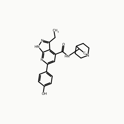 CCc1n[nH]c2nc(-c3ccc(O)cc3)cc(C(=O)NC3CN4CCC3CC4)c12